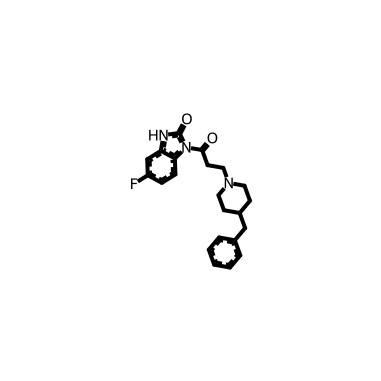 O=C(CCN1CCC(Cc2ccccc2)CC1)n1c(=O)[nH]c2cc(F)ccc21